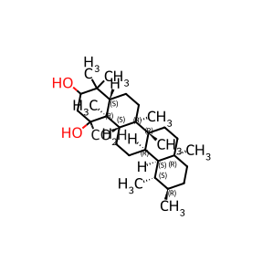 C[C@@H]1[C@H]2[C@H]3CC[C@@H]4[C@]5(C)[C@@H](CC[C@@]4(C)[C@]3(C)CC[C@@]2(C)CC[C@H]1C)C(C)(C)C(O)CC5(O)C(=O)O